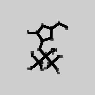 CCC1CC(C)C(CC(O)(C(F)(F)F)C(F)(F)F)C1